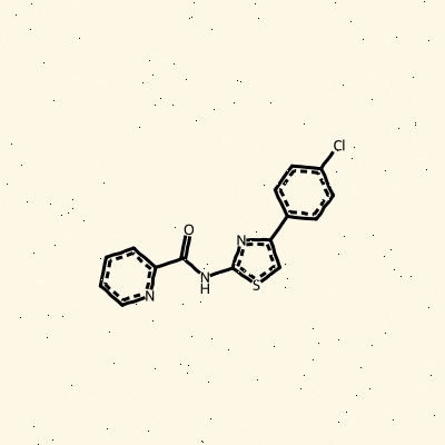 O=C(Nc1nc(-c2ccc(Cl)cc2)cs1)c1ccccn1